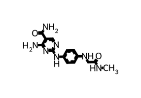 CNC(=O)CNc1ccc(Nc2ncc(C(N)=O)c(N)n2)cc1